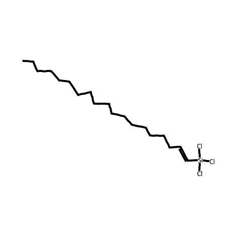 CCCCCCCCCCCCCCCCC/C=C/[Si](Cl)(Cl)Cl